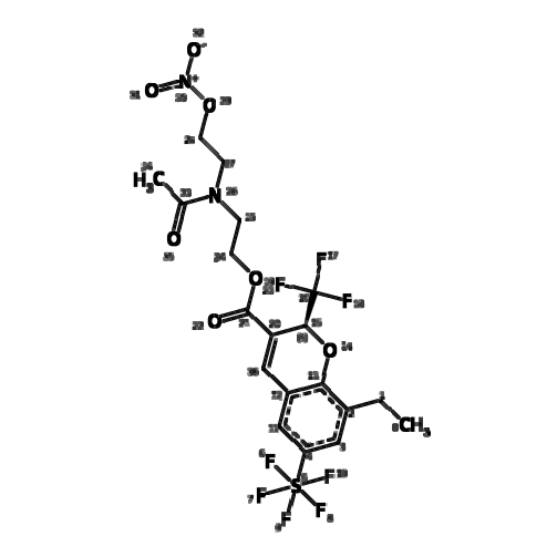 CCc1cc(S(F)(F)(F)(F)F)cc2c1O[C@H](C(F)(F)F)C(C(=O)OCCN(CCO[N+](=O)[O-])C(C)=O)=C2